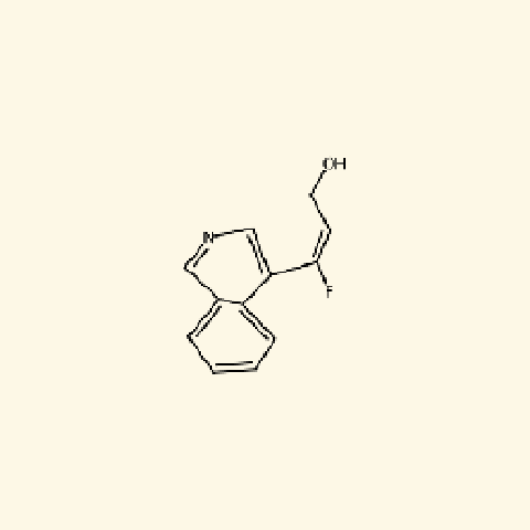 OC/C=C(/F)c1cncc2ccccc12